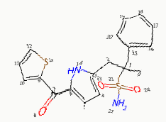 CC(Cc1ccc(C(=O)c2cccs2)[nH]1)(c1ccccc1)S(N)(=O)=O